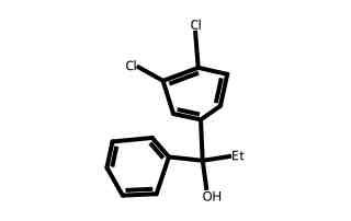 CCC(O)(c1ccccc1)c1ccc(Cl)c(Cl)c1